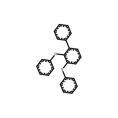 c1ccc(Oc2c(Sc3ccccc3)cccc2-c2ccccc2)cc1